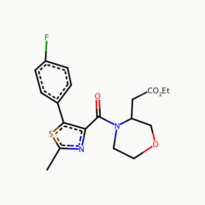 CCOC(=O)CC1COCCN1C(=O)c1nc(C)sc1-c1ccc(F)cc1